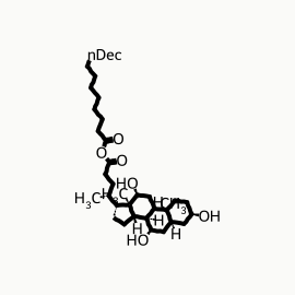 CCCCCCCCCCCCCCCCCC(=O)OC(=O)CC[C@@H](C)[C@H]1CC[C@H]2[C@@H]3[C@H](O)C[C@@H]4C[C@H](O)CC[C@]4(C)[C@H]3C[C@H](O)[C@]12C